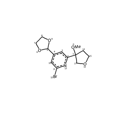 COC1(c2cc(C3OCCO3)cc(Br)n2)CCOC1